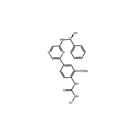 CCC[C@H](Nc1cncc(-c2ccc(NC(=O)NCC)c(OC)c2)n1)c1ccccc1